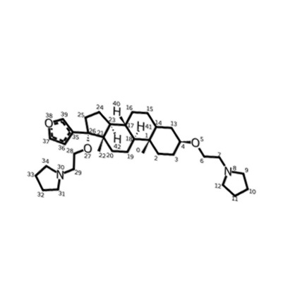 C[C@]12CC[C@H](OCCN3CCCC3)CC1CC[C@@H]1[C@@H]2CC[C@@]2(C)[C@H]1CC[C@]2(OCCN1CCCC1)c1ccoc1